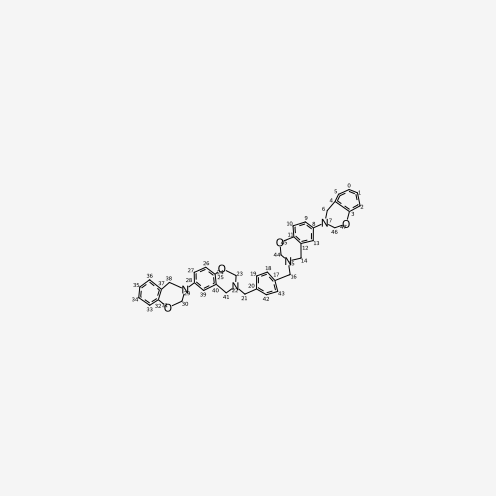 c1ccc2c(c1)CN(c1ccc3c(c1)CN(Cc1ccc(CN4COc5ccc(N6COc7ccccc7C6)cc5C4)cc1)CO3)CO2